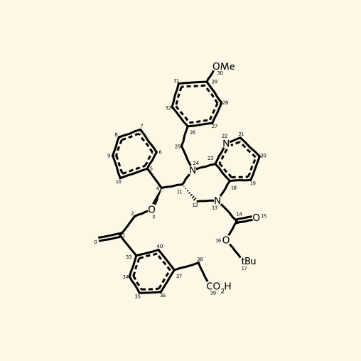 C=C(CO[C@@H](c1ccccc1)[C@H]1CN(C(=O)OC(C)(C)C)c2cccnc2N1Cc1ccc(OC)cc1)c1cccc(CC(=O)O)c1